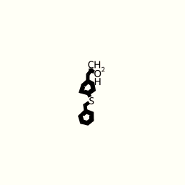 C=C(O)Cc1ccc(SCc2ccccc2)cc1